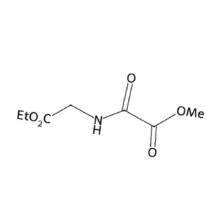 CCOC(=O)CNC(=O)C(=O)OC